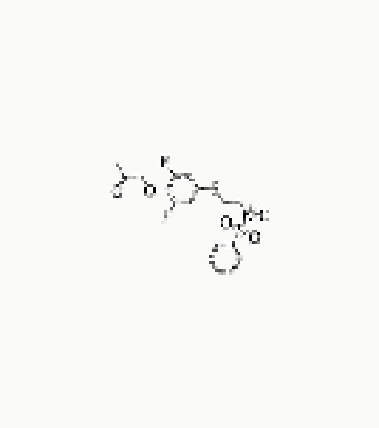 CC(=O)COc1c(F)cc(SCCN([11CH3])S(=O)(=O)c2ccccc2)cc1F